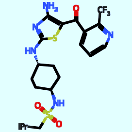 CC(C)CS(=O)(=O)N[C@H]1CC[C@H](Nc2nc(N)c(C(=O)c3cccnc3C(F)(F)F)s2)CC1